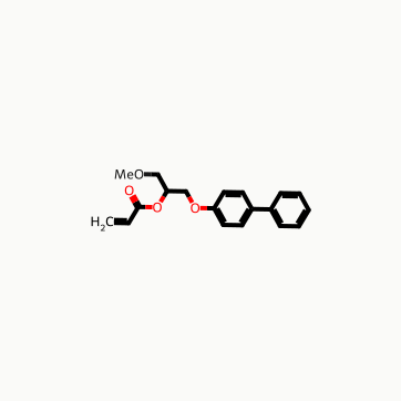 C=CC(=O)OC(COC)COc1ccc(-c2ccccc2)cc1